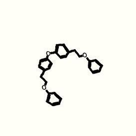 c1ccc(OCCc2ccc(Oc3ccc(CCOc4ccccc4)cc3)cc2)cc1